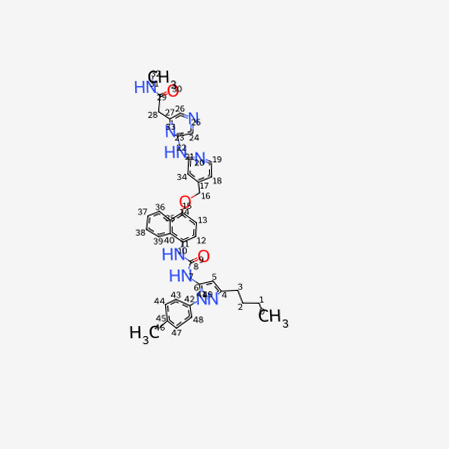 CCCCc1cc(NC(=O)Nc2ccc(OCc3ccnc(Nc4cncc(CC(=O)NC)n4)c3)c3ccccc23)n(-c2ccc(C)cc2)n1